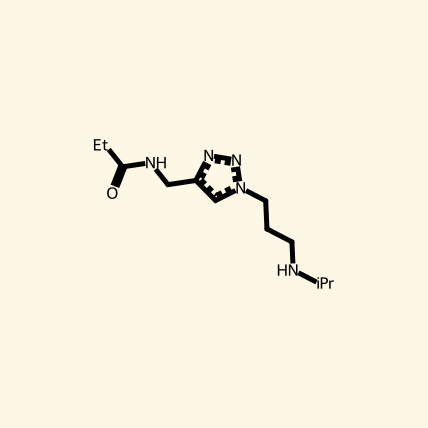 CCC(=O)NCc1cn(CCCNC(C)C)nn1